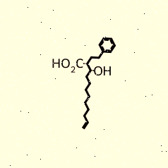 C=CCCCCCCC[C@@H](O)[C@@H](CCc1ccccc1)C(=O)O